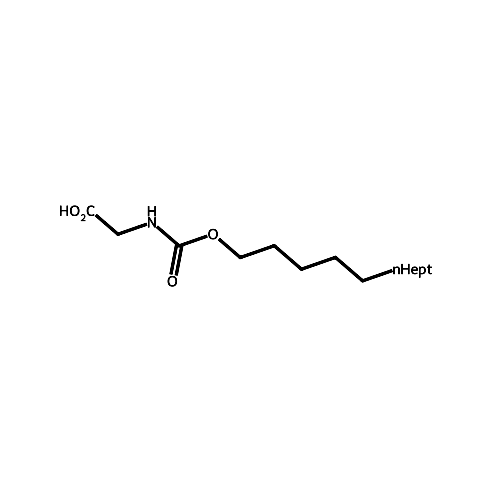 CCCCCCCCCCCCOC(=O)NCC(=O)O